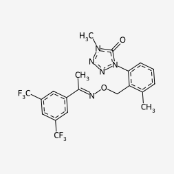 CC(=NOCc1c(C)cccc1-n1nnn(C)c1=O)c1cc(C(F)(F)F)cc(C(F)(F)F)c1